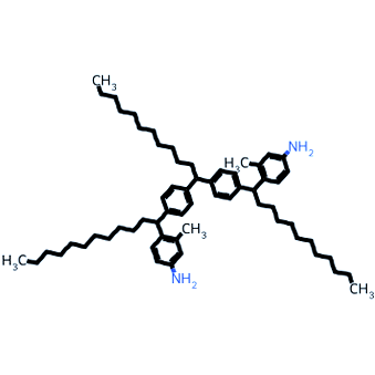 CCCCCCCCCCCC(c1ccc(C(CCCCCCCCCCC)c2ccc(N)cc2C)cc1)c1ccc(C(CCCCCCCCCCC)c2ccc(N)cc2C)cc1